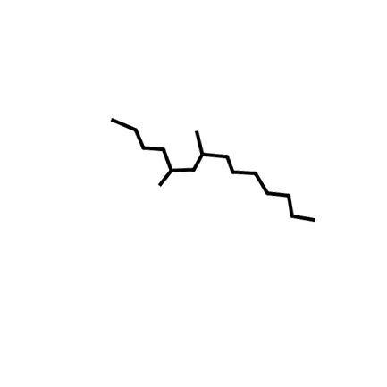 CCCCCCCC(C)CC(C)CCCC